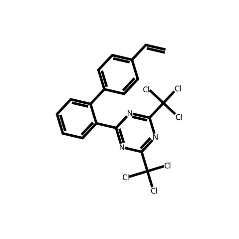 C=Cc1ccc(-c2ccccc2-c2nc(C(Cl)(Cl)Cl)nc(C(Cl)(Cl)Cl)n2)cc1